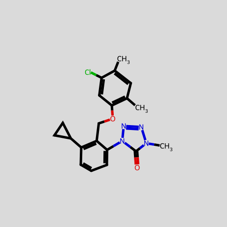 Cc1cc(C)c(OCc2c(C3CC3)cccc2-n2nnn(C)c2=O)cc1Cl